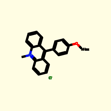 CCCCCCOc1ccc(-c2c3ccccc3[n+](C)c3ccccc23)cc1.[Cl-]